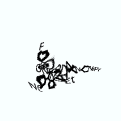 CCOc1ccccc1[C@]1(NC(=O)N2CC3(C2)CN(C2CCN(C(C)C)CC2)C3)C(=O)N(S(=O)(=O)c2ccc(F)cc2)c2ccc(C#N)cc21